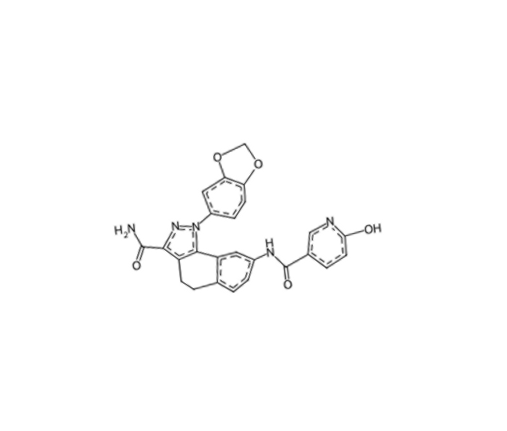 NC(=O)c1nn(-c2ccc3c(c2)OCO3)c2c1CCc1ccc(NC(=O)c3ccc(O)nc3)cc1-2